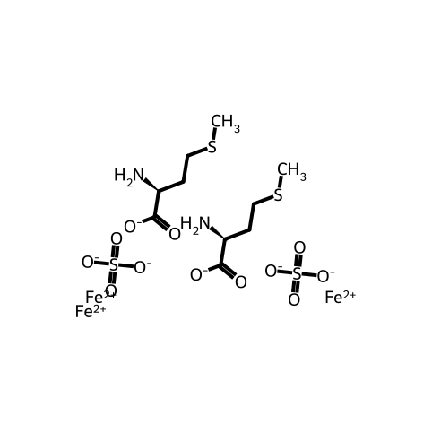 CSCC[C@H](N)C(=O)[O-].CSCC[C@H](N)C(=O)[O-].O=S(=O)([O-])[O-].O=S(=O)([O-])[O-].[Fe+2].[Fe+2].[Fe+2]